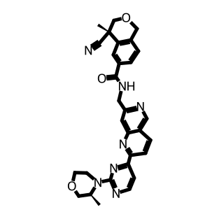 C[C@H]1COCCN1c1nccc(-c2ccc3cnc(CNC(=O)c4ccc5c(c4)[C@](C)(C#N)COC5)cc3n2)n1